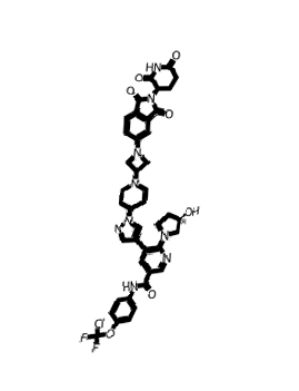 O=C1CCC(N2C(=O)c3ccc(N4CC(N5CCC(n6cc(-c7cc(C(=O)Nc8ccc(OC(F)(F)Cl)cc8)cnc7N7CC[C@@H](O)C7)cn6)CC5)C4)cc3C2=O)C(=O)N1